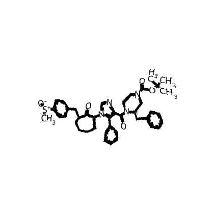 C[S+]([O-])c1ccc(CC2CCCCC(n3cnc(C(=O)N4CCN(C(=O)OC(C)(C)C)C[C@H]4Cc4ccccc4)c3-c3ccccc3)C2=O)cc1